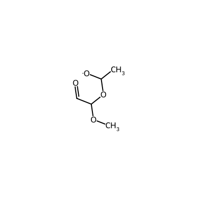 COC(C=O)OC(C)[O]